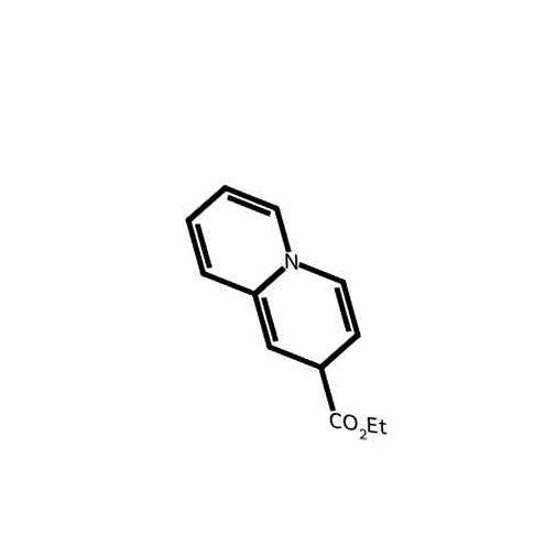 CCOC(=O)C1C=CN2C=CC=CC2=C1